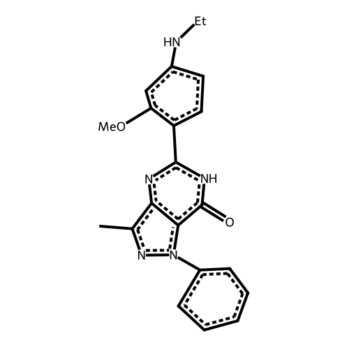 CCNc1ccc(-c2nc3c(C)nn(-c4ccccc4)c3c(=O)[nH]2)c(OC)c1